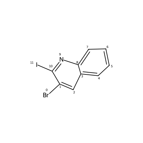 Brc1cc2ccccc2nc1I